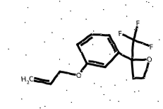 C=CCOc1cccc(C2(C(F)(F)F)CCO2)c1